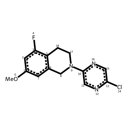 COc1cc(F)c2c(c1)CN(c1cnc(Cl)cn1)CC2